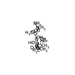 C=C(C)[C@]12C[C@@H](C)[C@@]3([C@@H]4C=C(C)C(=O)C4)O[C@](Cc4ccccc4)(O[C@@H]1[C@@H]3/C=C(\CCO)COC(O)Cc1ccc(OC(=O)N(C)CCCN)c(OC)c1)O2